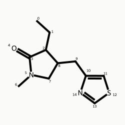 CCC1C(=O)N(C)CC1Cc1cscn1